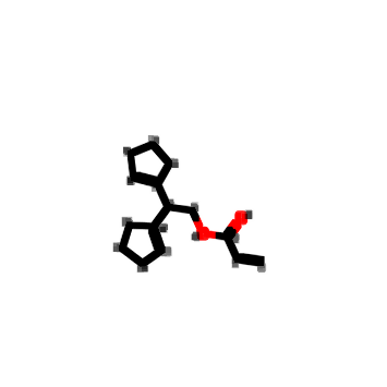 C=CC(=O)OCC(C1=CCCC1)C1=CCCC1